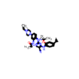 C=CC(=O)Nc1cc(N2CCN(CC)CC2)ccc1Nc1ncc(C#N)c(Nc2ccc(C3CC3)cc2OC(C)C)n1